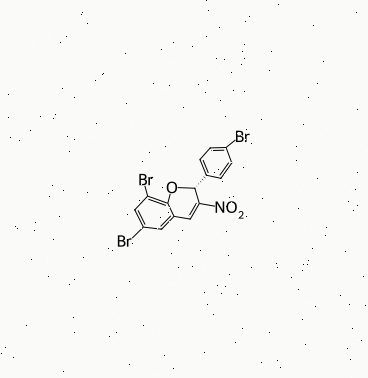 O=[N+]([O-])C1=Cc2cc(Br)cc(Br)c2O[C@@H]1c1ccc(Br)cc1